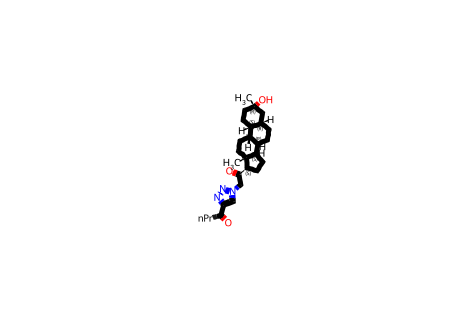 CCCC(=O)c1cn(CC(=O)[C@H]2CC[C@H]3[C@@H]4CC[C@@H]5C[C@](C)(O)CC[C@@H]5[C@H]4CC[C@]23C)nn1